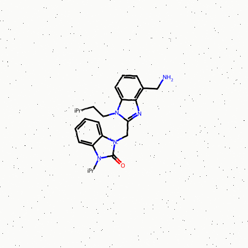 CC(C)CCn1c(Cn2c(=O)n(C(C)C)c3ccccc32)nc2c(CN)cccc21